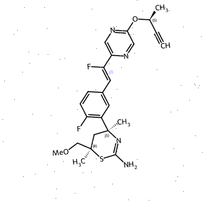 C#C[C@H](C)Oc1cnc(/C(F)=C/c2ccc(F)c([C@]3(C)C[C@](C)(COC)SC(N)=N3)c2)cn1